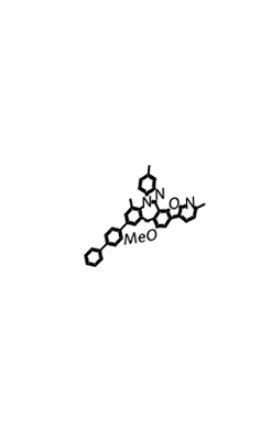 COc1cc2c(oc3nc(C)ccc32)c(-c2nc3cc(C)ccc3n2-c2c(C)cc(-c3ccc(-c4ccccc4)cc3)cc2C)c1C